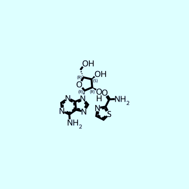 NC(=O)c1nccs1.Nc1ncnc2c1ncn2[C@@H]1O[C@H](CO)[C@@H](O)[C@H]1O